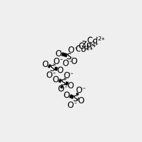 O=S(=O)([O-])[O-].O=S(=O)([O-])[O-].O=S(=O)([O-])[O-].O=S(=O)([O-])[O-].[Cd+2].[Co+2].[Cu+2].[Zn+2]